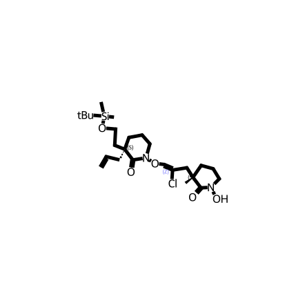 C=CC[C@]1(CCO[Si](C)(C)C(C)(C)C)CCCN(O/C=C(\Cl)C[C@]2(C)CCCN(O)C2=O)C1=O